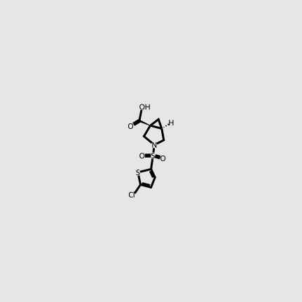 O=C(O)[C@@]12C[C@H]1CN(S(=O)(=O)c1ccc(Cl)s1)C2